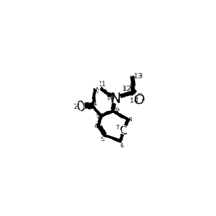 CC(=O)C1C=CCCCC1N(C)C(C)=O